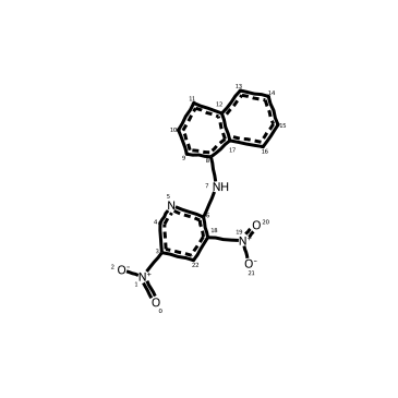 O=[N+]([O-])c1cnc(Nc2cccc3ccccc23)c([N+](=O)[O-])c1